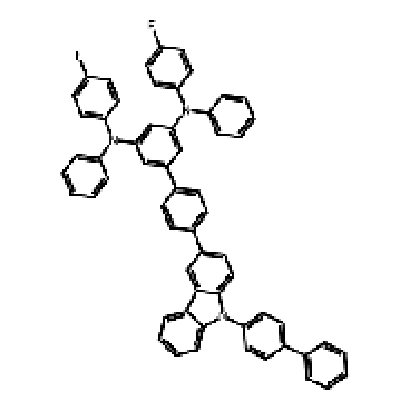 Fc1ccc(N(c2ccccc2)c2cc(-c3ccc(-c4ccc5c(c4)c4ccccc4n5-c4ccc(-c5ccccc5)cc4)cc3)cc(N(c3ccccc3)c3ccc(F)cc3)c2)cc1